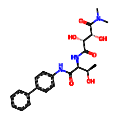 C[C@@H](O)[C@H](NC(=O)[C@H](O)[C@@H](O)C(=O)N(C)C)C(=O)Nc1ccc(-c2ccccc2)cc1